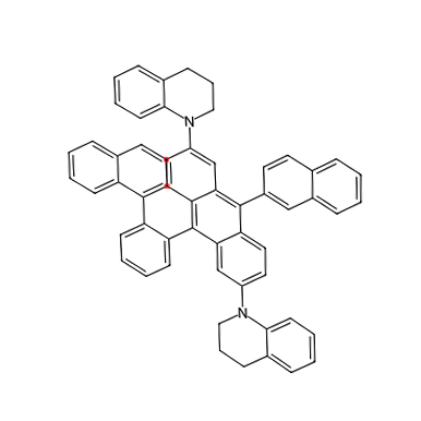 c1ccc2c(c1)CCCN2c1ccc2c(-c3ccccc3-c3cccc4ccccc34)c3cc(N4CCCc5ccccc54)ccc3c(-c3ccc4ccccc4c3)c2c1